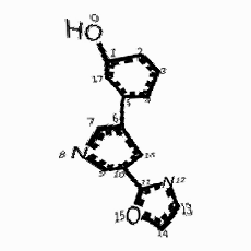 Oc1cccc(-c2cncc(-c3ncco3)c2)c1